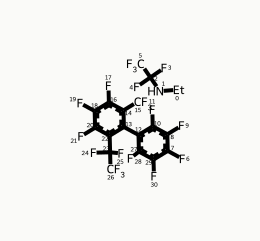 CCNC(F)(F)C(F)(F)F.Fc1c(F)c(F)c(-c2c(C(F)(F)F)c(F)c(F)c(F)c2C(F)(F)C(F)(F)F)c(F)c1F